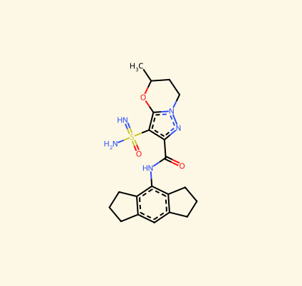 CC1CCn2nc(C(=O)Nc3c4c(cc5c3CCC5)CCC4)c(S(=N)(N)=O)c2O1